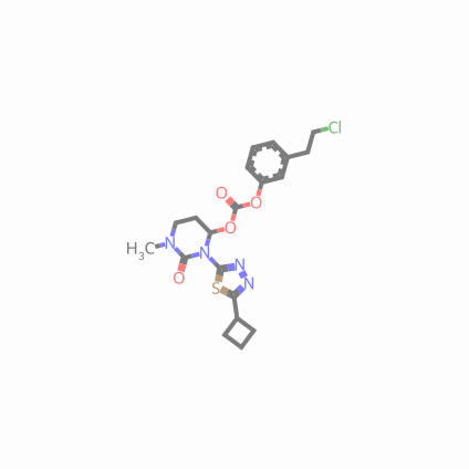 CN1CCC(OC(=O)Oc2cccc(CCCl)c2)N(c2nnc(C3CCC3)s2)C1=O